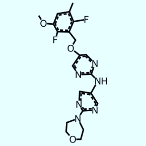 COc1cc(C)c(F)c(COc2cnc(Nc3cnc(N4CCOCC4)nc3)nc2)c1F